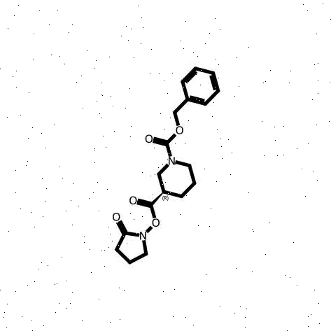 O=C(ON1CCCC1=O)[C@@H]1CCCN(C(=O)OCc2ccccc2)C1